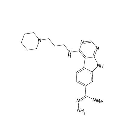 CN/C(=N\N)c1ccc2c(c1)[nH]c1ncnc(NCCCN3CCCCC3)c12